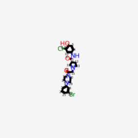 O=C(Nc1ccc(O)c(Cl)c1)[C@@H]1CCN(CC(=O)N2CCN(c3cccc(Br)c3)CC2)C1